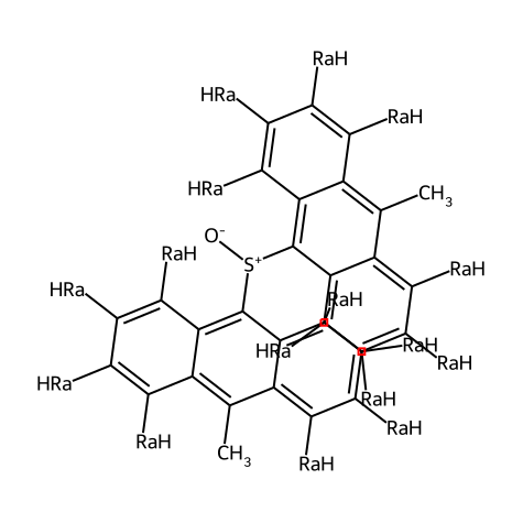 Cc1c2[c]([RaH])[c]([RaH])[c]([RaH])[c]([RaH])c2c([S+]([O-])c2c3[c]([RaH])[c]([RaH])[c]([RaH])[c]([RaH])c3c(C)c3[c]([RaH])[c]([RaH])[c]([RaH])[c]([RaH])c23)c2[c]([RaH])[c]([RaH])[c]([RaH])[c]([RaH])c12